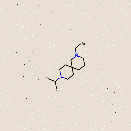 CC(C)C(C)N1CCC2(CCCN(CC(C)(C)C)C2)CC1